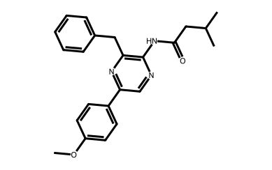 COc1ccc(-c2cnc(NC(=O)CC(C)C)c(Cc3ccccc3)n2)cc1